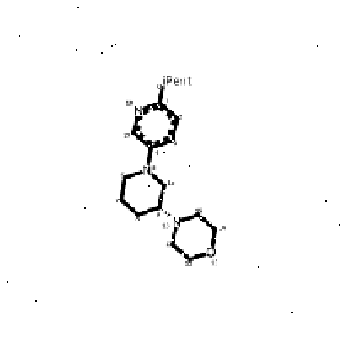 CCCC(C)c1ccc(N2CCC[C@@H](N3CCOCC3)C2)cn1